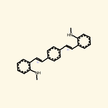 CNc1ccccc1/C=C/c1ccc(/C=C/c2ccccc2NC)cc1